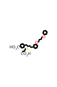 O=C(O)CCCSC(/C=C/c1cccc(OCCCCOc2ccccc2)c1)Cc1ccc(C(=O)O)cc1